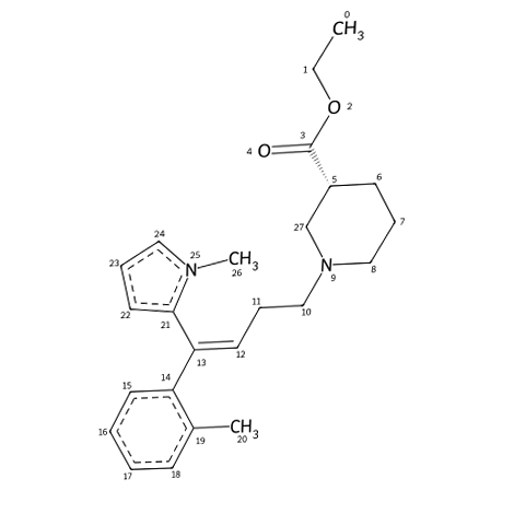 CCOC(=O)[C@@H]1CCCN(CCC=C(c2ccccc2C)c2cccn2C)C1